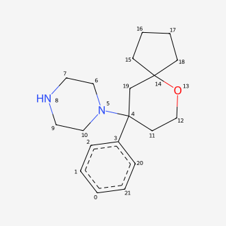 c1ccc(C2(N3CCNCC3)CCOC3(CCCC3)C2)cc1